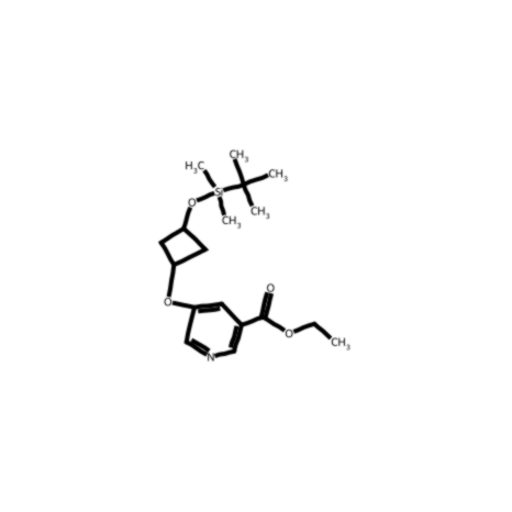 CCOC(=O)c1cncc(OC2CC(O[Si](C)(C)C(C)(C)C)C2)c1